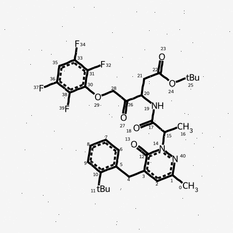 Cc1cc(Cc2ccccc2C(C)(C)C)c(=O)n(C(C)C(=O)NC(CC(=O)OC(C)(C)C)C(=O)COc2c(F)c(F)cc(F)c2F)n1